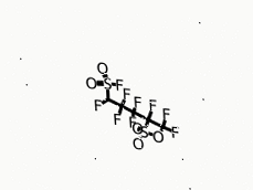 O=S(=O)(F)C(F)C(F)(F)C(F)(F)C1(F)C(F)(F)OS1(=O)=O